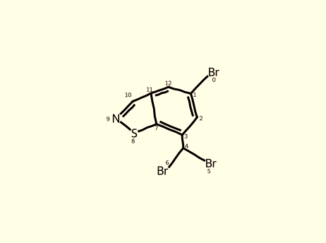 Brc1cc(C(Br)Br)c2sncc2c1